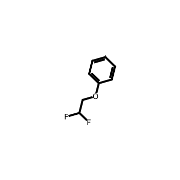 FC(F)COc1cc[c]cc1